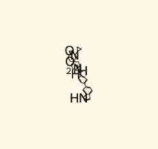 [2H]C([2H])(c1ccc(-c2ccc3cc[nH]c3c2)cc1)N1CCC2(CC1)CN(C1CC1)C(=O)CO2